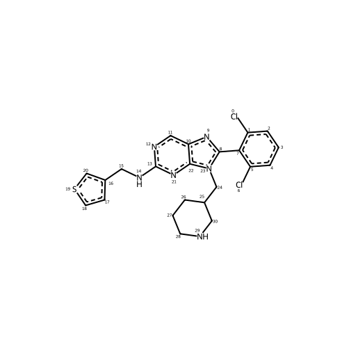 Clc1cccc(Cl)c1-c1nc2cnc(NCc3ccsc3)nc2n1CC1CCCNC1